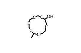 CC1CCCCCCCC(O)CCCCC1